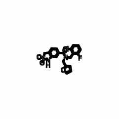 O=C(c1ccc2c(c1)NS(=O)(=O)C2)N(Cc1ccco1)Cc1c(F)cccc1Cl